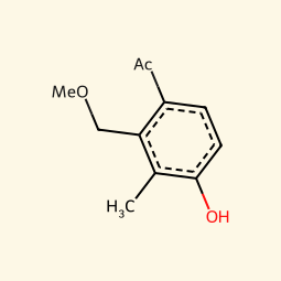 COCc1c(C(C)=O)ccc(O)c1C